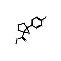 COC(=O)C12CCCC1(c1ccc(C)cc1)O2